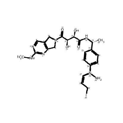 CNc1ncc2c(n1)CN(C(=O)[C@H](O)[C@@H](O)C(=O)N[C@H](C)c1ccc(N(N)/C=C\CI)cc1)C2